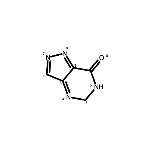 O=C1NCN=C2C=NN=C12